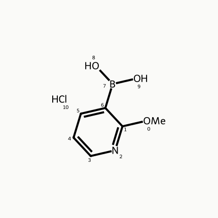 COc1ncccc1B(O)O.Cl